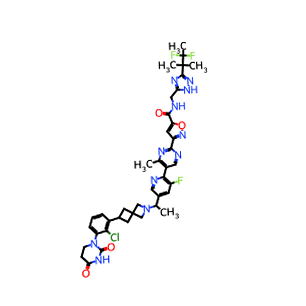 Cc1nc(-c2cc(C(=O)NCc3nc(C(C)(C)C(C)(F)F)n[nH]3)on2)ncc1-c1ncc(C(C)N2CC3(CC(c4cccc(N5CCC(=O)NC5=O)c4Cl)C3)C2)cc1F